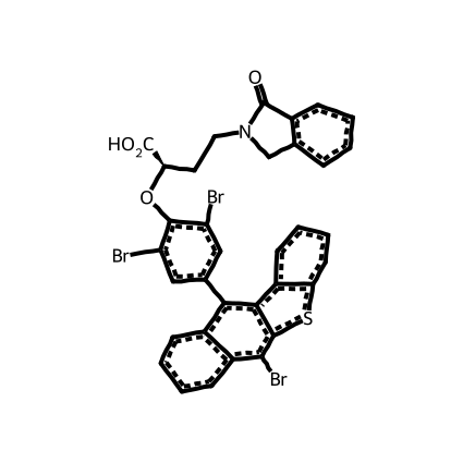 O=C(O)[C@@H](CCN1Cc2ccccc2C1=O)Oc1c(Br)cc(-c2c3ccccc3c(Br)c3sc4ccccc4c23)cc1Br